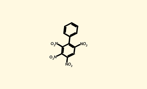 O=[N+]([O-])c1[c]c([N+](=O)[O-])c([N+](=O)[O-])c([N+](=O)[O-])c1-c1ccccc1